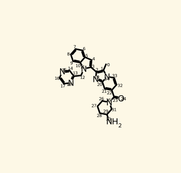 Cc1c(-c2cc3ccccc3n2Cc2cnccn2)nc2cc(C(=O)N3CCCC(N)C3)ccn12